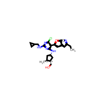 CCc1cc2cc(-c3c(Cl)nc(NCC4CC4)nc3N[C@@H]3C[C@H](CO)[C@@H](C)C3)oc2cn1